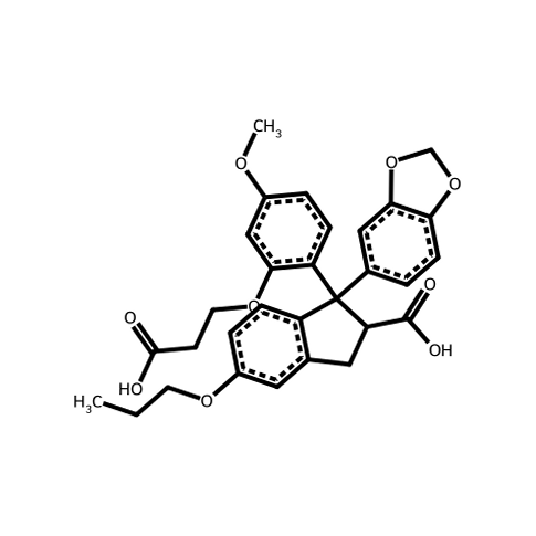 CCCOc1ccc2c(c1)CC(C(=O)O)C2(c1ccc2c(c1)OCO2)c1ccc(OC)cc1OCCC(=O)O